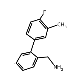 Cc1cc(-c2c[c]ccc2CN)ccc1F